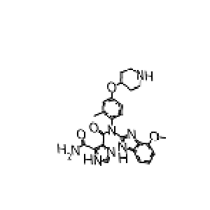 COc1cccc2[nH]c(N(C(=O)c3nc[nH]c3C(N)=O)c3ccc(OC4CCNCC4)cc3C)nc12